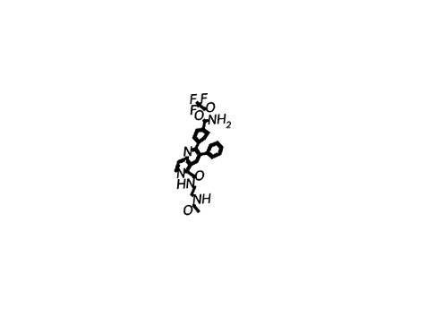 CC(=O)NCCNC(=O)c1nccc2nc(-c3ccc(C(N)OC(=O)C(F)(F)F)cc3)c(-c3ccccc3)cc12